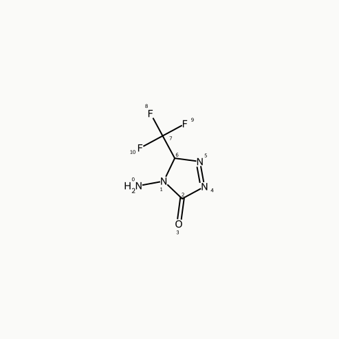 NN1C(=O)N=NC1C(F)(F)F